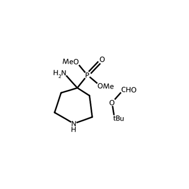 CC(C)(C)OC=O.COP(=O)(OC)C1(N)CCNCC1